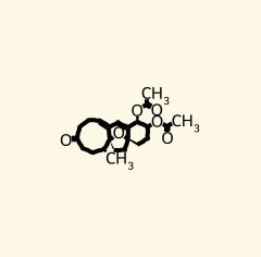 CC(=O)OC1CC[C@@]23CC[C@@]4(O2)/C(=C\CCC(=O)CC[C@@H]4C)C=C3[C@H]1OC(C)=O